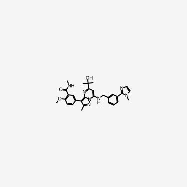 CNC(=O)c1cc(-c2c(C)nn3c(NCc4cccc(-c5nccn5C)c4)cc(C(C)(C)O)nc23)ccc1OC